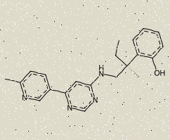 CC[C@](C)(CNc1cc(-c2ccc(C)nc2)ncn1)c1ccccc1O